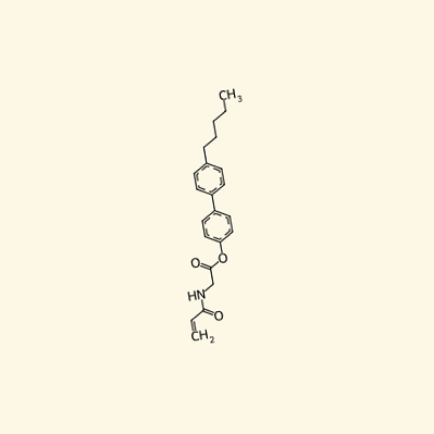 C=CC(=O)NCC(=O)Oc1ccc(-c2ccc(CCCCC)cc2)cc1